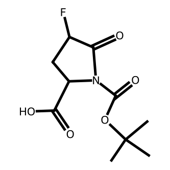 CC(C)(C)OC(=O)N1C(=O)C(F)CC1C(=O)O